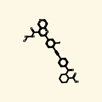 O=C(NNCl)c1cc(-c2ccc(C#Cc3ccc(C(=O)N4CCCCC4C(=O)O)cc3)c(F)c2)nc2ccncc12